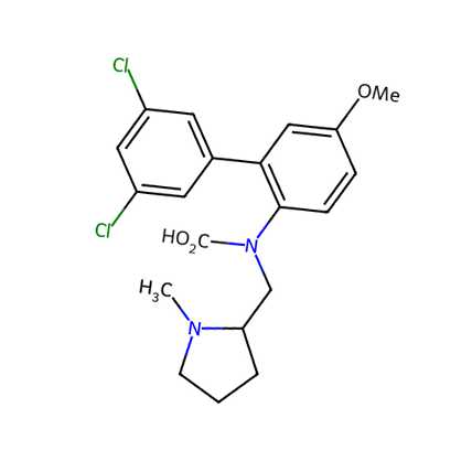 COc1ccc(N(CC2CCCN2C)C(=O)O)c(-c2cc(Cl)cc(Cl)c2)c1